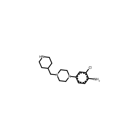 Nc1ccc(N2CCN(CC3CCNCC3)CC2)cc1Cl